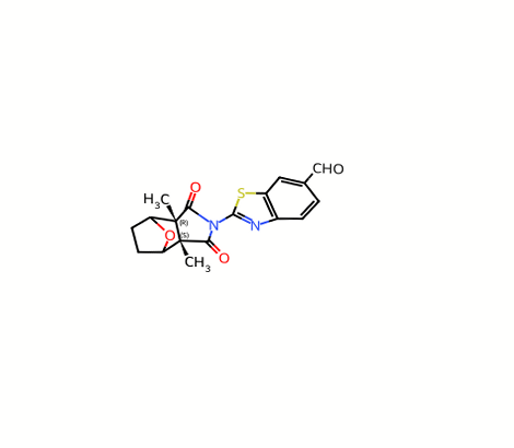 C[C@@]12C(=O)N(c3nc4ccc(C=O)cc4s3)C(=O)[C@]1(C)C1CCC2O1